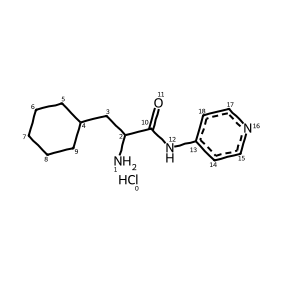 Cl.NC(CC1CCCCC1)C(=O)Nc1ccncc1